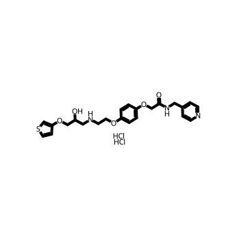 Cl.Cl.O=C(COc1ccc(OCCNCC(O)COc2ccsc2)cc1)NCc1ccncc1